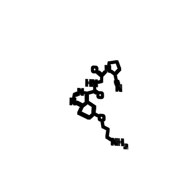 N#CC1CCCN1C(=O)CNC(=O)c1ncnc2ccc(OCCCN)cc12